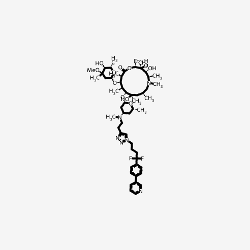 CC[C@H]1OC(=O)[C@H](C)[C@@H](O[C@H]2C[C@@](C)(OC)[C@@H](O)[C@H](C)O2)[C@H](C)[C@@H](O[C@H]2C[C@@H](N(C)CCc3cn(CCCC(F)(F)c4ccc(-c5cccnc5)cc4)nn3)C[C@@H](C)O2)[C@](C)(O)C[C@@H](C)CN(C)[C@H](C)[C@@H](O)[C@]1(C)O